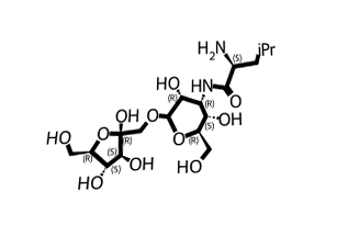 CC(C)C[C@H](N)C(=O)N[C@@H]1[C@H](O)[C@@H](CO)OC(OC[C@@]2(O)O[C@H](CO)[C@@H](O)[C@@H]2O)[C@@H]1O